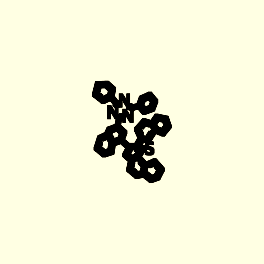 c1ccc(-c2nc(-c3ccccc3)nc(-c3cc(-c4cc5ccc6ccccc6c5c5sc6c7ccccc7ccc6c45)c4ccccc4c3)n2)cc1